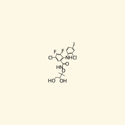 CC(C)(ONC(=O)c1cc(Cl)c(F)c(F)c1Nc1ccc(I)cc1Cl)C(O)CO